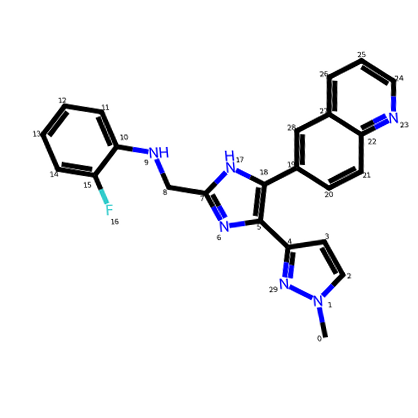 Cn1ccc(-c2nc(CNc3ccccc3F)[nH]c2-c2ccc3ncccc3c2)n1